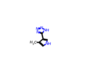 Cc1c[nH]cc1-c1nnn[nH]1